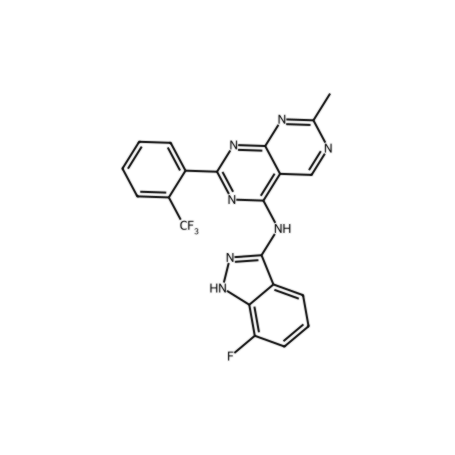 Cc1ncc2c(Nc3n[nH]c4c(F)cccc34)nc(-c3ccccc3C(F)(F)F)nc2n1